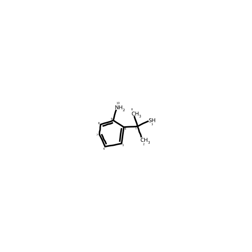 CC(C)(S)c1ccccc1N